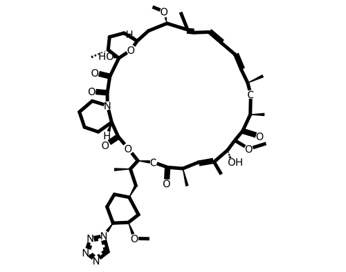 COC1C(=O)[C@H](C)C[C@H](C)/C=C/C=C/C=C(\C)[C@@H](OC)C[C@@H]2CC[C@@H](C)[C@@](O)(O2)C(=O)C(=O)N2CCCC[C@H]2C(=O)O[C@H]([C@H](C)C[C@@H]2CC[C@H](n3cnnn3)[C@H](OC)C2)CC(=O)[C@H](C)/C=C(\C)[C@H]1O